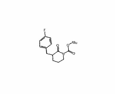 CC(C)(C)OC(=O)N1CCCC(Cc2ccc(F)cc2)C1=O